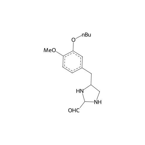 CCCCOc1cc(CC2CNC(C=O)N2)ccc1OC